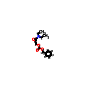 CCN(CC)C1OC1COC(=O)OCc1ccccc1